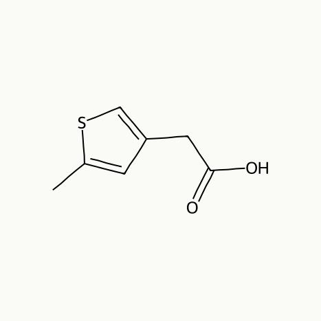 Cc1cc(CC(=O)O)cs1